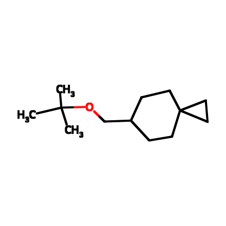 CC(C)(C)OCC1CCC2(CC1)CC2